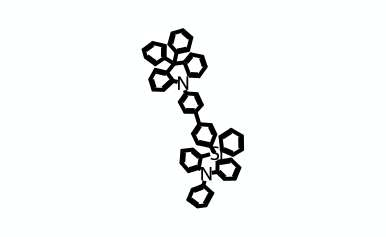 c1ccc(N2c3ccccc3[Si](c3ccccc3)(c3ccc(-c4ccc(N5c6ccccc6C(c6ccccc6)(c6ccccc6)c6ccccc65)cc4)cc3)c3ccccc32)cc1